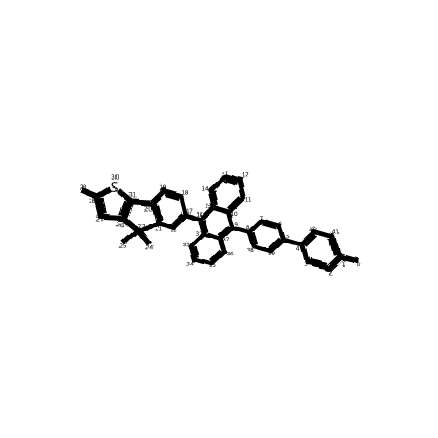 Cc1ccc(-c2ccc(-c3c4ccccc4c(-c4ccc5c(c4)C(C)(C)c4cc(C)sc4-5)c4ccccc34)cc2)cc1